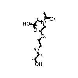 CC(=O)N(CCOCCOCCO)CC(=O)O